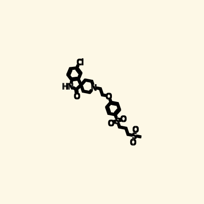 CS(=O)(=O)CCCS(=O)(=O)c1ccc(OCCN2CCC3(CC2)C(=O)Nc2ccc(Cl)cc23)cc1